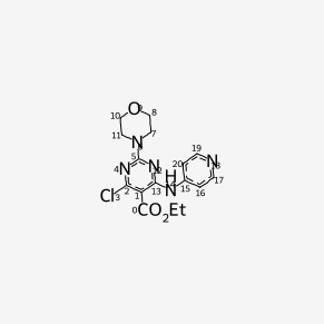 CCOC(=O)c1c(Cl)nc(N2CCOCC2)nc1Nc1ccncc1